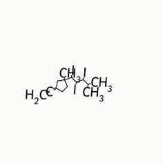 C=C=C1CCC(C)([C@@H](I)C(I)C(I)C(C)C)C1